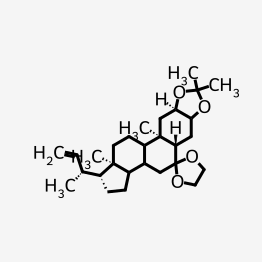 C=C[C@@H](C)[C@H]1CCC2C3CC4(OCCO4)[C@H]4CC5OC(C)(C)O[C@@H]5C[C@]4(C)C3CC[C@@]21C